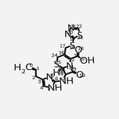 C=CCc1c[nH]c(NC2C(=O)N3C(C(=O)O)=C(CSc4nncs4)CS[C@@H]23)n1